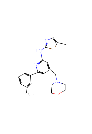 CNc1cccc(-c2cc(CN3CCOCC3)cc(Nc3ncc(C)s3)n2)c1